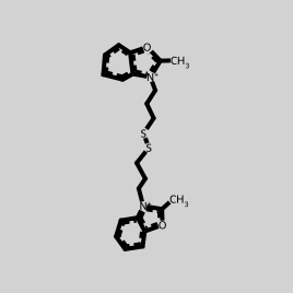 Cc1oc2ccccc2[n+]1CCCSSCCC[n+]1c(C)oc2ccccc21